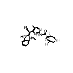 CCN1C(=C(C#N)c2nc(NC(=O)[C@H]3O[C@H]4CNC[C@@H]3O4)ncc2C)Nc2ccccc21